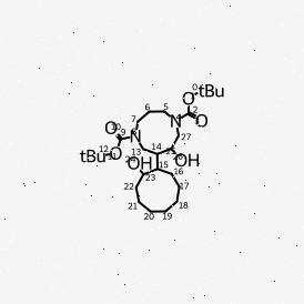 CC(C)(C)OC(=O)N1CCCN(C(=O)OC(C)(C)C)CC(C2CCCCCCCC2O)C(O)C1